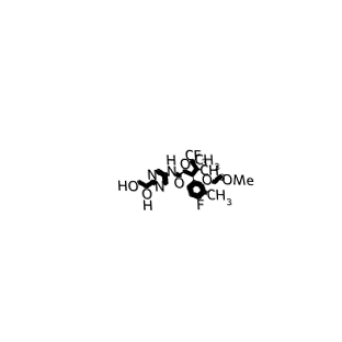 COCCOc1c([C@@H]2[C@@H](C(=O)Nc3cnc(C(O)CO)nc3)O[C@](C)(C(F)(F)F)[C@@H]2C)ccc(F)c1C